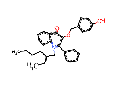 CCCCC(CC)Cn1c(-c2ccccc2)c(OCc2ccc(O)cc2)c(=O)c2ccccc21